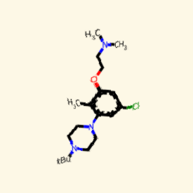 Cc1c(OCCN(C)C)cc(Cl)cc1N1CCN(C(C)(C)C)CC1